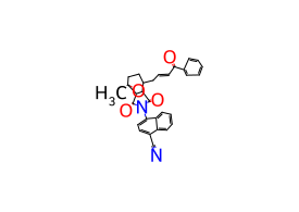 CC12CCC(CC=CC(=O)c3ccccc3)(O1)C1C(=O)N(c3ccc(C#N)c4ccccc34)C(=O)C12